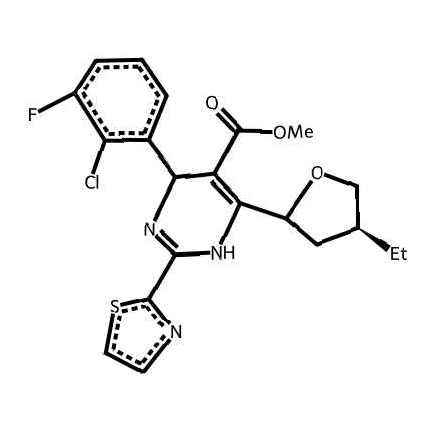 CC[C@@H]1COC(C2=C(C(=O)OC)C(c3cccc(F)c3Cl)N=C(c3nccs3)N2)C1